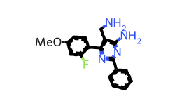 COc1ccc(-c2nc(-c3ccccc3)nc(N)c2CN)c(F)c1